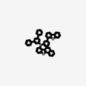 c1ccc(-c2cc(-c3ccccc3)cc(N(c3cccc(-c4cccc5c4oc4ccccc45)c3)c3cccc4oc5c6ccccc6ccc5c34)c2)cc1